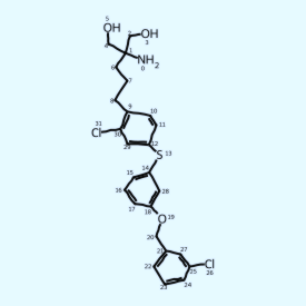 NC(CO)(CO)CCCc1ccc(Sc2cccc(OCc3cccc(Cl)c3)c2)cc1Cl